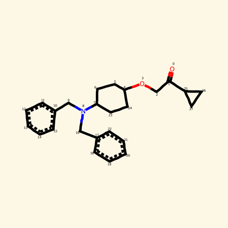 O=C(COC1CCC(N(Cc2ccccc2)Cc2ccccc2)CC1)C1CC1